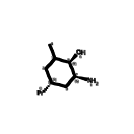 CC(C)[C@@H]1CC(C)[C@@H](O)[C@@H](N)C1